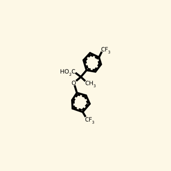 CC(Oc1ccc(C(F)(F)F)cc1)(C(=O)O)c1ccc(C(F)(F)F)cc1